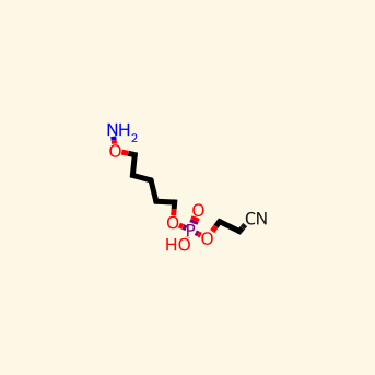 N#CCCOP(=O)(O)OCCCCCON